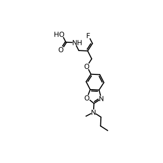 CCCN(C)c1nc2ccc(OC/C(=C/F)CNC(=O)O)cc2o1